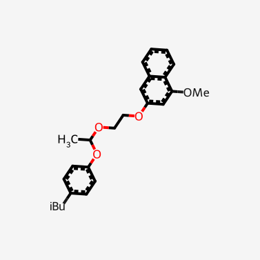 CCC(C)c1ccc(OC(C)OCCOc2cc(OC)c3ccccc3c2)cc1